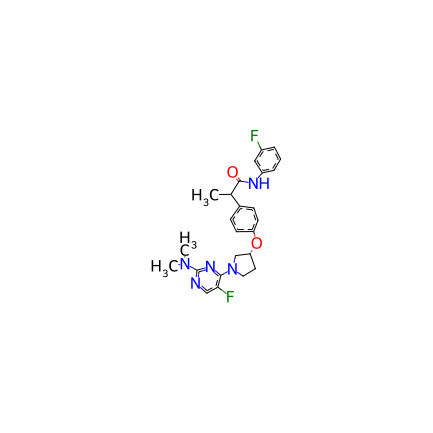 CC(C(=O)Nc1cccc(F)c1)c1ccc(O[C@@H]2CCN(c3nc(N(C)C)ncc3F)C2)cc1